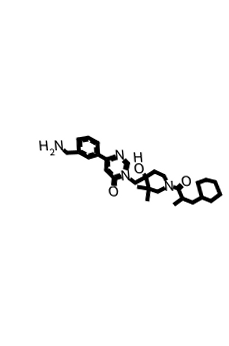 CC(CC1CCCCC1)C(=O)N1CCC(O)(Cn2cnc(-c3cccc(CN)c3)cc2=O)C(C)(C)C1